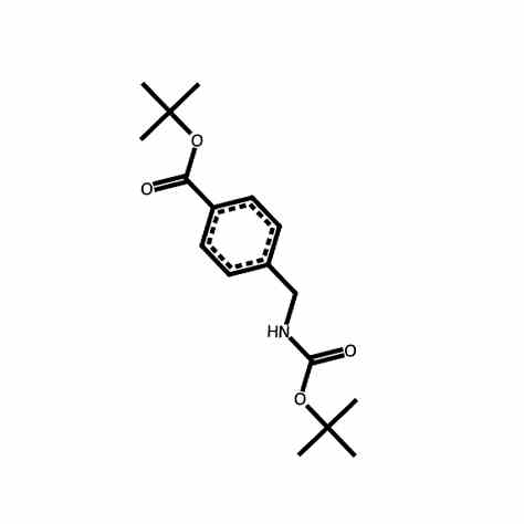 CC(C)(C)OC(=O)NCc1ccc(C(=O)OC(C)(C)C)cc1